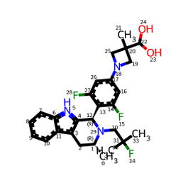 C[C@@H]1Cc2c([nH]c3ccccc23)[C@@H](c2c(F)cc(N3CC(C)(C(O)O)C3)cc2F)N1CC(C)(C)F